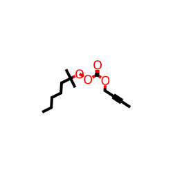 CC#CCOC(=O)OOC(C)(C)CCCCC